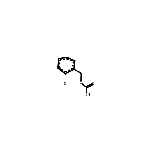 S=C(S)OCc1ccccc1.[Cr]